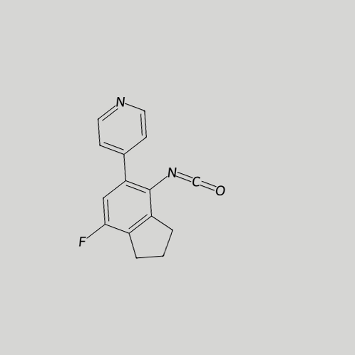 O=C=Nc1c(-c2ccncc2)cc(F)c2c1CCC2